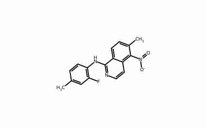 Cc1ccc(Nc2nccc3c([N+](=O)[O-])c(C)ccc23)c(F)c1